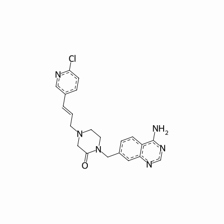 Nc1ncnc2cc(CN3CCN(C/C=C/c4ccc(Cl)nc4)CC3=O)ccc12